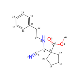 COC(=O)C1([C@H](C#N)NCCc2ccccc2)CCCC1